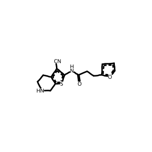 N#Cc1c(NC(=O)CCc2ccco2)sc2c1CCNC2